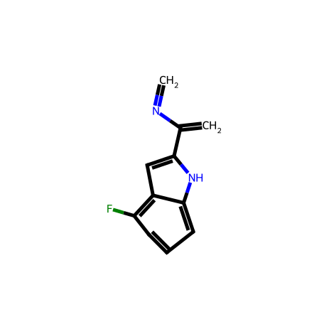 C=NC(=C)c1cc2c(F)cccc2[nH]1